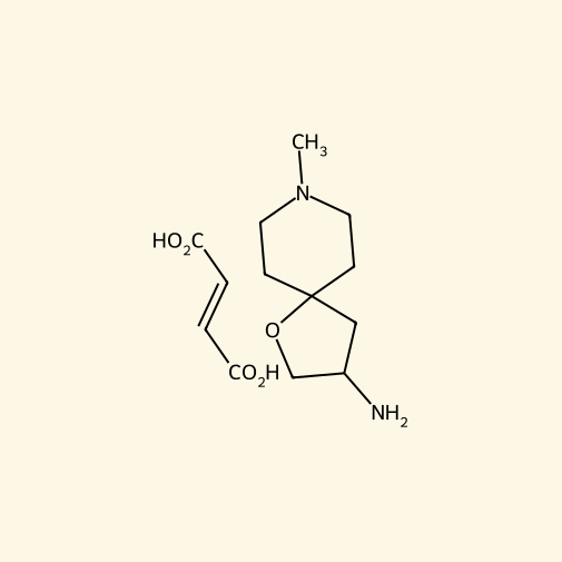 CN1CCC2(CC1)CC(N)CO2.O=C(O)C=CC(=O)O